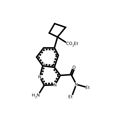 CCOC(=O)C1(c2ccc3nc(N)nc(C(=O)N(CC)CC)c3c2)CCC1